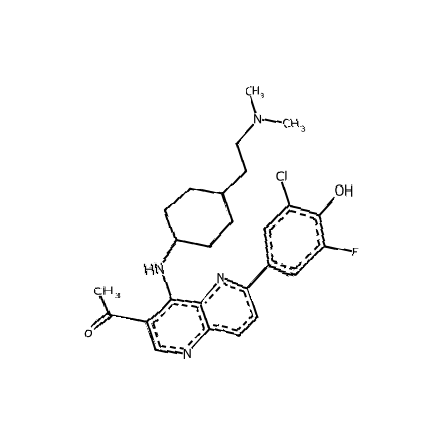 CC(=O)c1cnc2ccc(-c3cc(F)c(O)c(Cl)c3)nc2c1NC1CCC(CCN(C)C)CC1